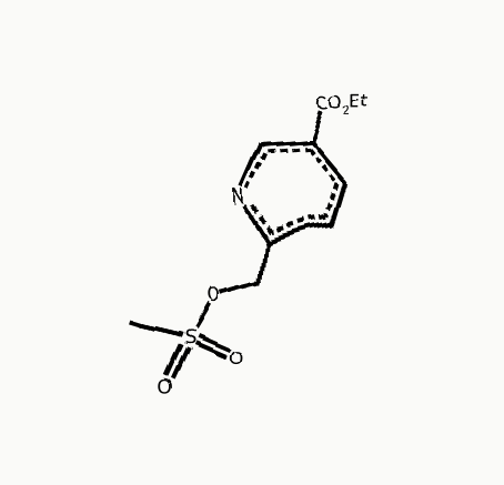 CCOC(=O)c1ccc(COS(C)(=O)=O)nc1